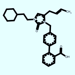 C/C=C/Cc1cn(CCC2CCCCC2)c(=O)n1Cc1ccc(-c2ccccc2C(=O)O)cc1